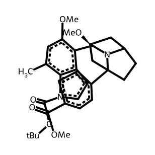 COC(=O)c1ccc(C23CCC(C[C@H](OC)C2)N3Cc2c(OC)cc(C)c3c2ccn3C(=O)OC(C)(C)C)cc1